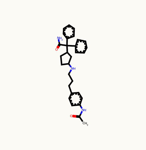 CC(=O)Nc1ccc(CCCNC2CCC(C(C(N)=O)(c3ccccc3)c3ccccc3)C2)cc1